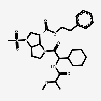 CNC(C)C(=O)NC(C(=O)N1CCC2C1[C@@H](C(=O)NCCc1ccccc1)CN2S(C)(=O)=O)C1CCCCC1